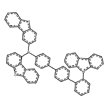 c1ccc(-n2c3ccccc3c3ccccc32)c(-c2ccc(-c3ccc(N(c4ccc5sc6ccccc6c5c4)c4cccc5oc6ccccc6c45)cc3)cc2)c1